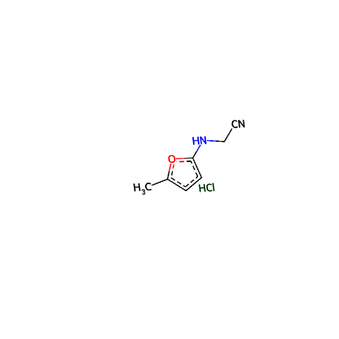 Cc1ccc(NCC#N)o1.Cl